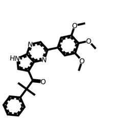 COc1cc(-c2cnc3[nH]cc(C(=O)C(C)(C)c4ccccc4)c3n2)cc(OC)c1OC